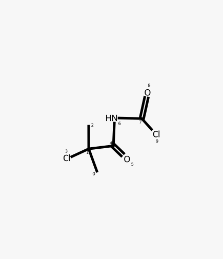 CC(C)(Cl)C(=O)NC(=O)Cl